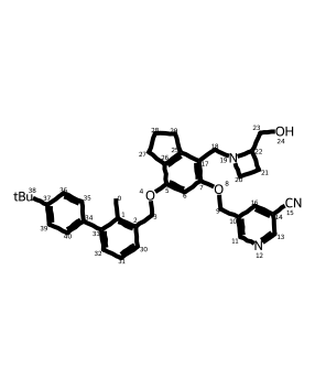 Cc1c(COc2cc(OCc3cncc(C#N)c3)c(CN3CCC3CO)c3c2CCC3)cccc1-c1ccc(C(C)(C)C)cc1